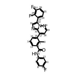 Cc1c(C(=O)Nc2ccc(F)cc2)cccc1-c1ccnn2c(-c3cccc(F)c3F)cnc12